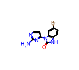 Nc1nccc(-n2c(=O)[nH]c3ccc(Br)cc32)n1